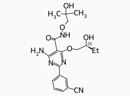 CC[C@H](O)COc1nc(-c2cccc(C#N)c2)nc(N)c1C(=O)NOCC(C)(C)O